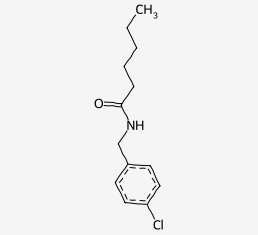 CCCCCC(=O)NCc1ccc(Cl)cc1